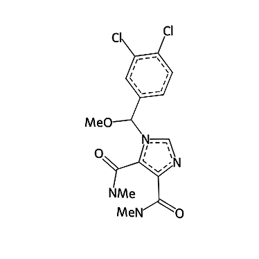 CNC(=O)c1ncn(C(OC)c2ccc(Cl)c(Cl)c2)c1C(=O)NC